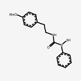 COc1ccc(CCNC(=O)N(S)c2cc[c]cc2)cc1